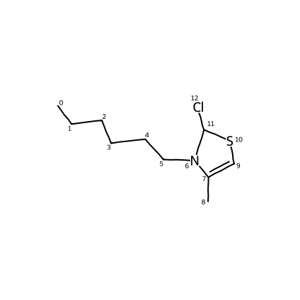 CCCCCCN1C(C)=CSC1Cl